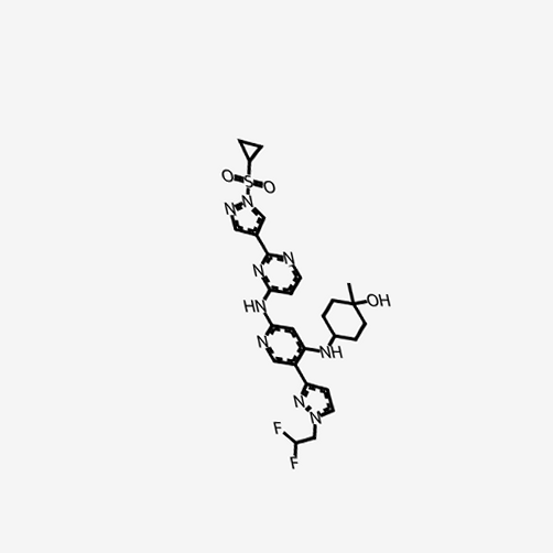 CC1(O)CCC(Nc2cc(Nc3ccnc(-c4cnn(S(=O)(=O)C5CC5)c4)n3)ncc2-c2ccn(CC(F)F)n2)CC1